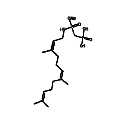 COP(=O)(CP(=O)(O)O)NCC=C(C)CCC=C(C)CCC=C(C)C